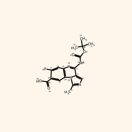 Cc1ncc2c(NC(=O)OC(C)(C)C)nc3cc(F)c(C(=O)O)cc3n12